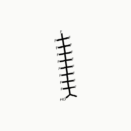 CC(O)C(F)(F)C(F)(F)C(F)(F)C(F)(F)C(F)(F)C(F)(F)C(F)(F)C(F)(F)F